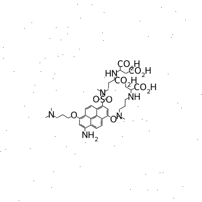 CN(C)CCCOc1cc(N)c2ccc3c(ON(C)CCCNC(CC(=O)O)C(=O)O)cc(S(=O)(=O)N(C)CCCNC(CC(=O)O)C(=O)O)c4ccc1c2c34